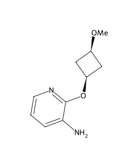 CO[C@H]1C[C@@H](Oc2ncccc2N)C1